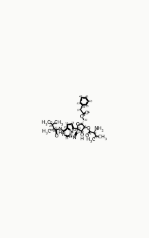 CC(C)[C@H](N)C(=O)O[C@H]1[C@@H](O)[C@](C#N)(c2ccc3c(NC(=O)[C@H](C)C(C)C)ncnn23)O[C@@H]1COC(=O)Cc1ccccc1